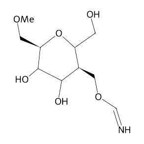 COC[C@H]1OC(CO)[C@@H](COC=N)C(O)C1O